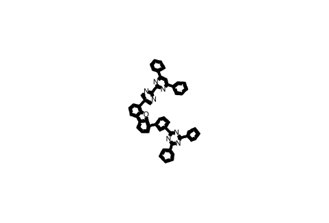 c1ccc(-c2cc(-c3ccccc3)nc(-c3ncc(-c4cccc5c4oc4c(-c6cccc(-c7nc(-c8ccccc8)nc(-c8ccccc8)n7)c6)cccc45)cn3)n2)cc1